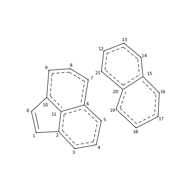 C1=Cc2cccc3cccc1c23.c1ccc2ccccc2c1